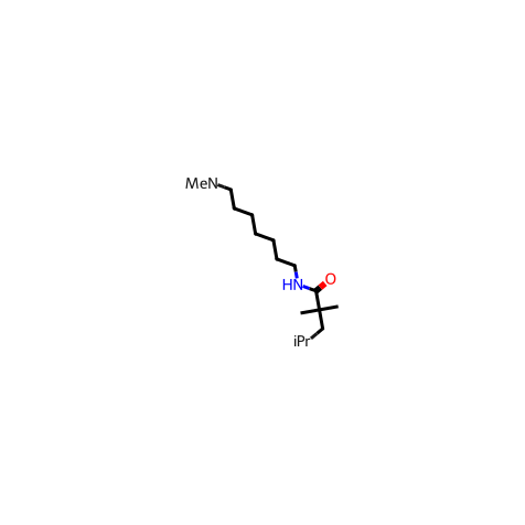 CNCCCCCCCNC(=O)C(C)(C)CC(C)C